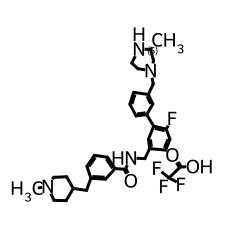 C[C@H]1CN(Cc2cccc(-c3cc(CNC(=O)c4cccc(CC5CCN(C)CC5)c4)ccc3F)c2)CCN1.O=C(O)C(F)(F)F